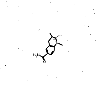 CC1Cc2cc(C(N)=O)ccc2N(C)[C@H]1F